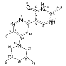 Cc1nnc(-c2c[nH]c(=O)[nH]c2=O)cc1N1CC(C)CC(C)C1